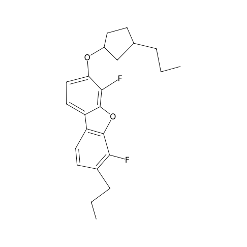 CCCc1ccc2c(oc3c(F)c(OC4CCC(CCC)C4)ccc32)c1F